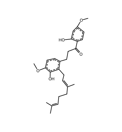 COc1ccc(C(=O)CCc2ccc(OC)c(O)c2C/C=C(\C)CCC=C(C)C)c(O)c1